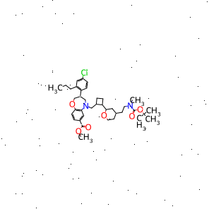 CCCc1cc(Cl)ccc1C1COc2ccc(C(=O)OC)cc2N(CC2CCC2C2CC(CCN(C)C(=O)OC(C)(C)C)CCO2)C1